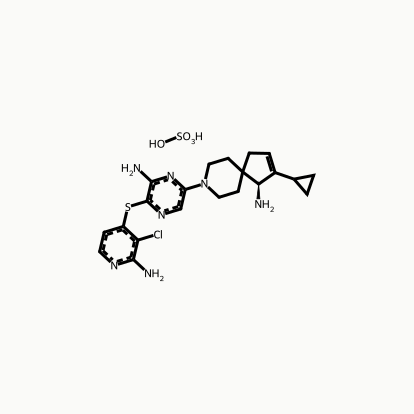 Nc1nc(N2CCC3(CC=C(C4CC4)[C@H]3N)CC2)cnc1Sc1ccnc(N)c1Cl.O=S(=O)(O)O